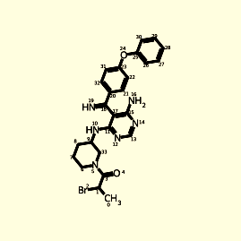 CC(Br)C(=O)N1CCCC(Nc2ncnc(N)c2C(=N)c2ccc(Oc3ccccc3)cc2)C1